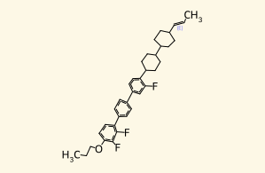 C/C=C/C1CCC(C2CCC(c3ccc(-c4ccc(-c5ccc(OCCC)c(F)c5F)cc4)cc3F)CC2)CC1